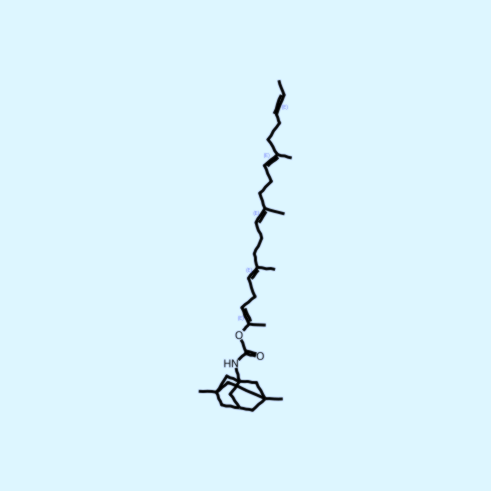 C/C=C/CC/C(C)=C/CC/C(C)=C/CC/C(C)=C/C/C=C(\C)OC(=O)NC12CC3CC(C)(CC(C)(C3)C1)C2